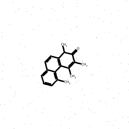 CC1=C(C)c2c(ccc3cccc(C)c23)C(C)C1=O